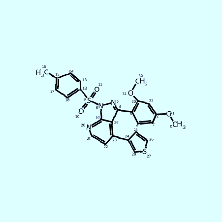 COc1ccc(-c2nn(S(=O)(=O)c3ccc(C)cc3)c3nccc(-c4ccsc4)c23)c(OC)c1